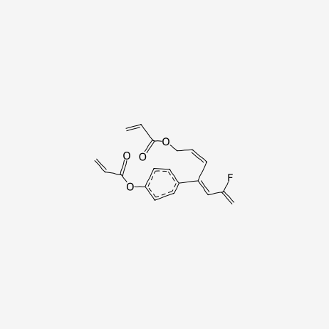 C=CC(=O)OC/C=C\C(=C/C(=C)F)c1ccc(OC(=O)C=C)cc1